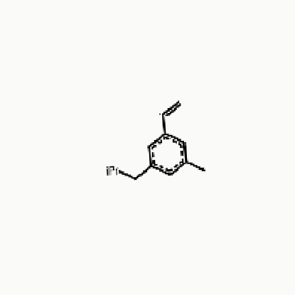 C=[C]c1cc(C)cc(CC(C)C)c1